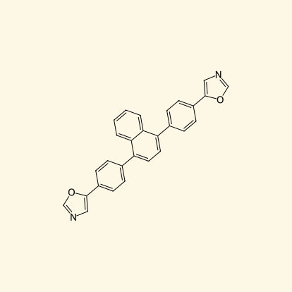 c1ccc2c(-c3ccc(-c4cnco4)cc3)ccc(-c3ccc(-c4cnco4)cc3)c2c1